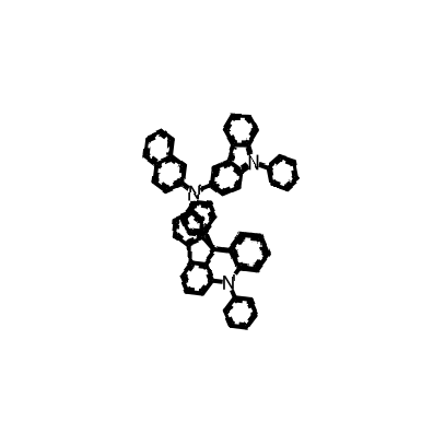 c1ccc(N2c3ccccc3C3(c4ccccc4)c4cc(N(c5ccc6ccccc6c5)c5ccc6c(c5)c5ccccc5n6-c5ccccc5)ccc4-c4cccc2c43)cc1